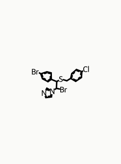 Clc1ccc(CSC(c2ccc(Br)cc2)C(Br)n2ccnc2)cc1